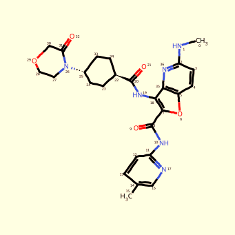 CNc1ccc2oc(C(=O)Nc3ccc(C)cn3)c(NC(=O)[C@H]3CC[C@H](N4CCOCC4=O)CC3)c2n1